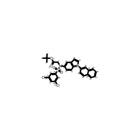 CC(C)(C)OC(=O)CN(c1ccc2c(ccn2-c2ccc3ccccc3c2)c1)S(=O)(=O)c1cc(Cl)cc(Cl)c1